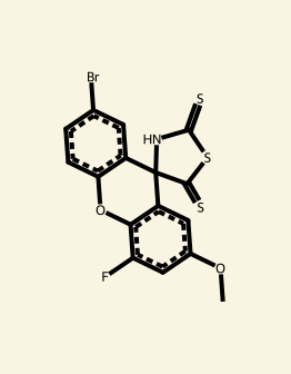 COc1cc(F)c2c(c1)C1(NC(=S)SC1=S)c1cc(Br)ccc1O2